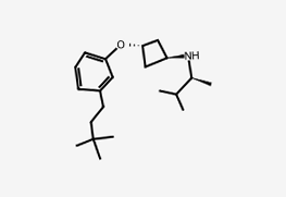 CC(C)[C@H](C)N[C@H]1C[C@H](Oc2cccc(CCC(C)(C)C)c2)C1